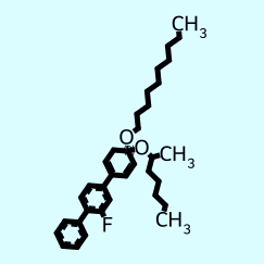 CCCCCCCCCCO[C@]1(OC(C)CCCCC)C=CC(c2ccc(-c3ccccc3)c(F)c2)=CC1